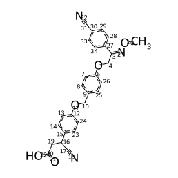 CO/N=C(/COc1ccc(COc2ccc(C(C#N)CC(=O)O)cc2)cc1)c1ccc(C#N)cc1